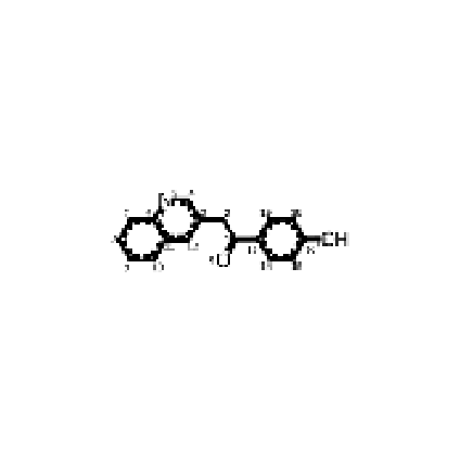 O=C(Cc1cnc2ccccc2c1)c1ccc(O)cc1